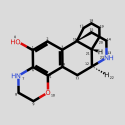 Oc1cc2c(c3c1NCCO3)C[C@@H]1NCC[C@]23CCCC[C@H]13